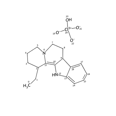 CCC1CCCN2CCC3C(=C12)Nc1ccccc13.[O-][Cl+3]([O-])([O-])O